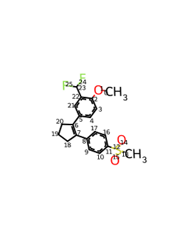 COc1ccc(C2=C(c3ccc(S(C)(=O)=O)cc3)CCC2)cc1C(F)F